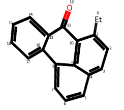 CCc1ccc2cccc3c2c1C(=O)c1ccccc1-3